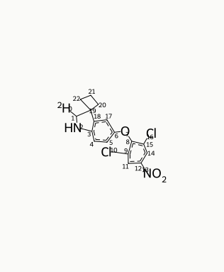 [2H]C1Nc2ccc(Oc3c(Cl)cc([N+](=O)[O-])cc3Cl)cc2C12CCC2